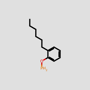 CCCCCCc1ccccc1OP